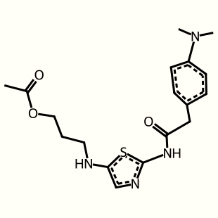 CC(=O)OCCCNc1cnc(NC(=O)Cc2ccc(N(C)C)cc2)s1